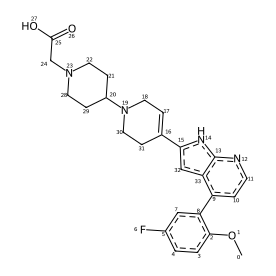 COc1ccc(F)cc1-c1ccnc2[nH]c(C3=CCN(C4CCN(CC(=O)O)CC4)CC3)cc12